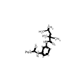 C=C(C)CC(C)(C)C(=O)Nc1cccc(NC(=O)C(C)CCC)c1